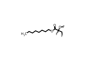 CCCCCCCCOC(=O)C(F)(CF)OF